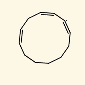 [C]1=CCCCCCC=CCC=C1